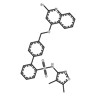 CCc1cc(OCc2ccc(-c3ccccc3S(=O)(=O)Nc3noc(C)c3C)cc2)c2ccccc2n1